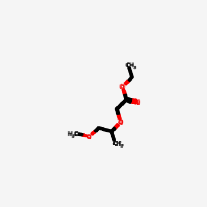 CCOC(=O)COC(C)COC